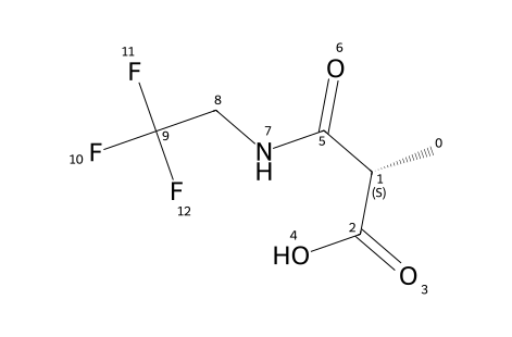 C[C@H](C(=O)O)C(=O)NCC(F)(F)F